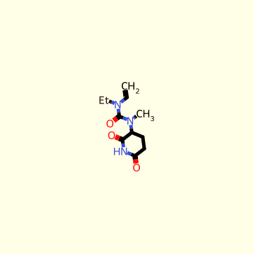 C=CN(CC)C(=O)N(C)C1CCC(=O)NC1=O